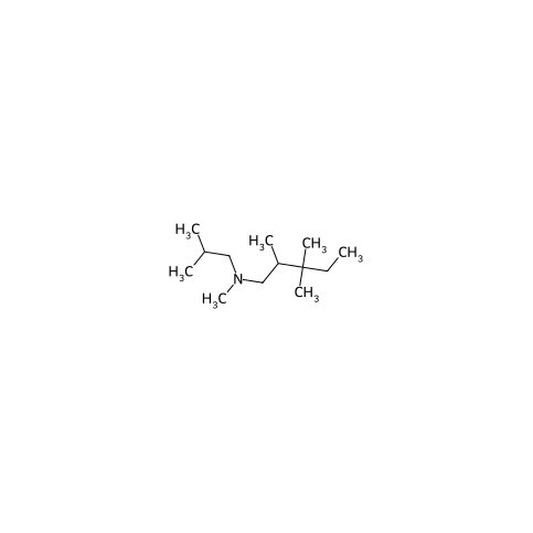 CCC(C)(C)C(C)CN(C)CC(C)C